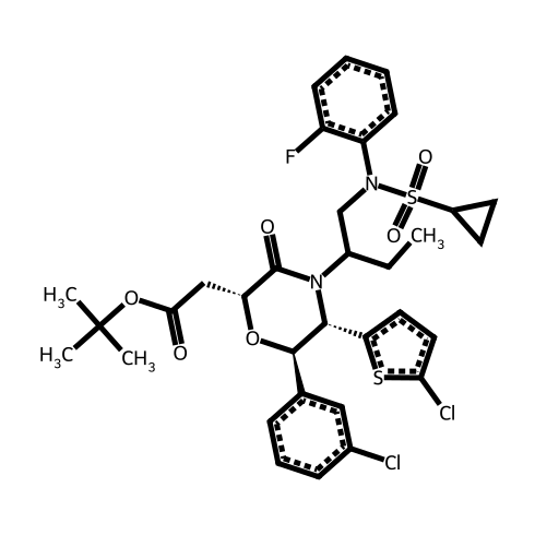 CCC(CN(c1ccccc1F)S(=O)(=O)C1CC1)N1C(=O)[C@@H](CC(=O)OC(C)(C)C)O[C@H](c2cccc(Cl)c2)[C@H]1c1ccc(Cl)s1